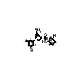 C[C@H]1C2C1N(c1cc(Cl)cc(Cl)c1)C[C@H]2C(=O)N[C@@H]1C[C@@H]2CC[C@H]1N2C#N